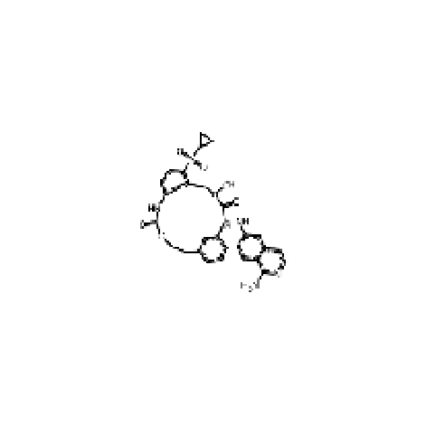 CN1Cc2cc(ccc2S(=O)(=O)C2CC2)NC(=O)OCCc2cccc(c2)[C@@H](Nc2ccc3c(N)nccc3c2)C1=O